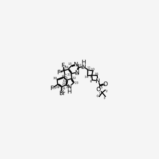 CC(C)(C)OC(=O)N1CC2(CC(Nc3ncc(C(F)(F)F)c(-c4c[nH]c5c(Br)c(F)ccc45)n3)C2)C1